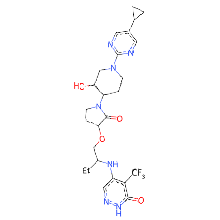 CCC(COC1CCN(C2CCN(c3ncc(C4CC4)cn3)CC2O)C1=O)Nc1cn[nH]c(=O)c1C(F)(F)F